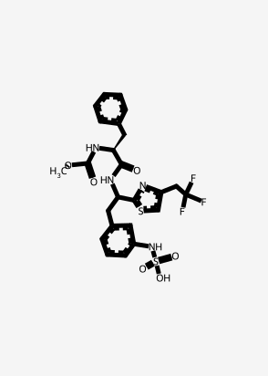 COC(=O)N[C@@H](Cc1ccccc1)C(=O)NC(Cc1cccc(NS(=O)(=O)O)c1)c1nc(CC(F)(F)F)cs1